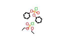 CCOP(=O)(Cl)OCC.O=P(Cl)(Oc1ccccc1)Oc1ccccc1